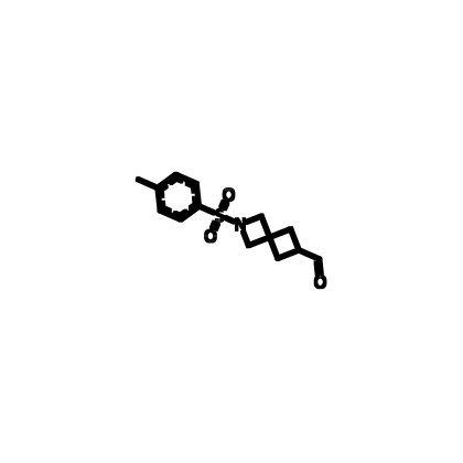 Cc1ccc(S(=O)(=O)N2CC3(CC(C=O)C3)C2)cc1